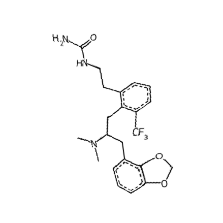 CN(C)C(Cc1cccc2c1OCO2)Cc1c(CCNC(N)=O)cccc1C(F)(F)F